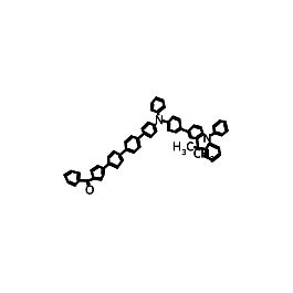 CC1(C)c2ccccc2N(c2ccccc2)c2ccc(-c3ccc(N(c4ccccc4)c4ccc(-c5ccc(-c6ccc(-c7ccc(C(=O)c8ccccc8)cc7)cc6)cc5)cc4)cc3)cc21